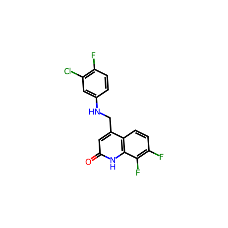 O=c1cc(CNc2ccc(F)c(Cl)c2)c2ccc(F)c(F)c2[nH]1